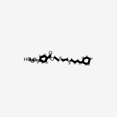 O=C(OCCSCCSCCCCC1CCCCC1)c1ccc(SOOO)cc1